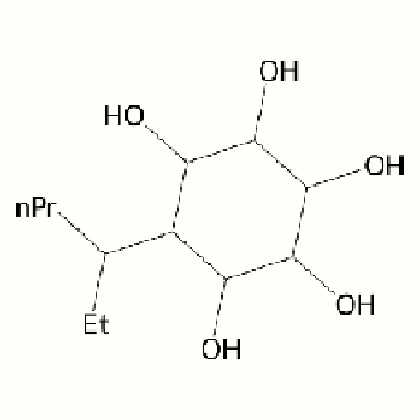 CCCC(CC)C1C(O)C(O)C(O)C(O)C1O